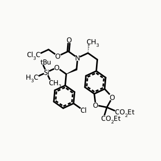 CCOC(=O)C1(C(=O)OCC)Oc2ccc(C[C@@H](C)N(C[C@H](O[Si](C)(C)C(C)(C)C)c3cccc(Cl)c3)C(=O)OCC(Cl)(Cl)Cl)cc2O1